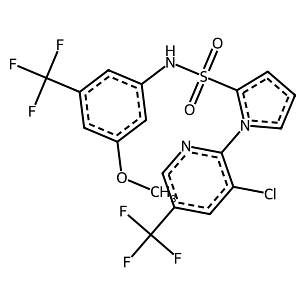 COc1cc(NS(=O)(=O)c2cccn2-c2ncc(C(F)(F)F)cc2Cl)cc(C(F)(F)F)c1